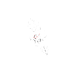 CCC1=CC2=C(C=CC=CC2c2ccc3cc(N(C)C)ccc3c2)[C]12[SiH](C)[C]1(C(CC)=CC3=C1C=CC=CC3c1ccc3cc(N(C)C)ccc3c1)[Zr]21([Cl])([Cl])[C]2(C(CC)=CC3=C2C=CC=CC3c2ccc3cc(N(C)C)ccc3c2)[SiH](C)[C]12C(CC)=CC1=C2C=CC=CC1c1ccc2cc(N(C)C)ccc2c1